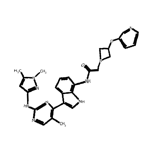 Cc1cnc(Nc2cc(C)n(C)n2)nc1-c1c[nH]c2c(NC(=O)CN3CC(Oc4cccnc4)C3)cccc12